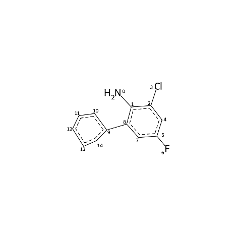 Nc1c(Cl)cc(F)cc1-c1ccccc1